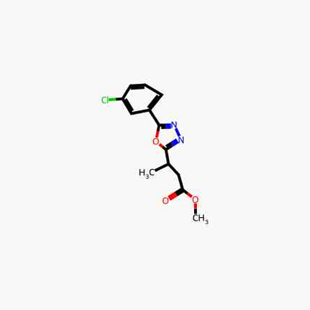 COC(=O)CC(C)c1nnc(-c2cccc(Cl)c2)o1